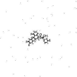 Cc1c(C(=O)N[C@@H](O)c2cccc(F)c2)c2cccc(F)c2c(=O)n1Cc1ccc(F)c(F)c1